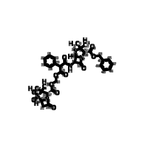 CC1(C)S[C@@H]2[C@H](NC(=O)C(C(=O)OCOC(=O)[C@@H]3N4C(=O)C[C@H]4S(=O)(=O)C3(C)C)c3ccccc3)C(=O)N2[C@H]1C(=O)OCc1ccccc1